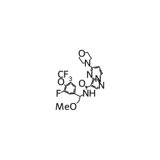 COCC(NC(=O)c1cnn2ccc(N3CCOCC3)nc12)c1ccc(OC(F)(F)F)c(F)c1